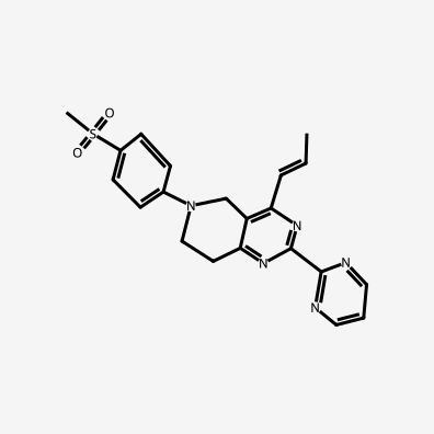 CC=Cc1nc(-c2ncccn2)nc2c1CN(c1ccc(S(C)(=O)=O)cc1)CC2